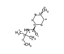 CCC(C)(C)NC(=O)[C@H]1CC[C@@H](C)CC1